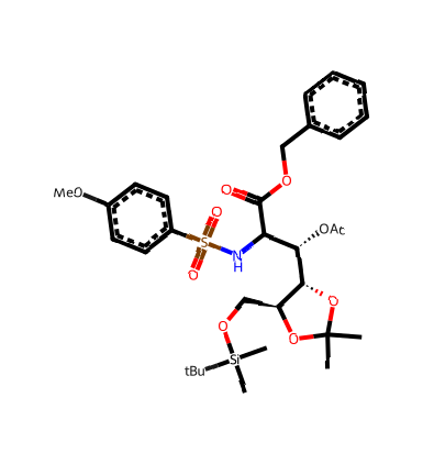 COc1ccc(S(=O)(=O)NC(C(=O)OCc2ccccc2)[C@H](OC(C)=O)[C@@H]2OC(C)(C)O[C@H]2CO[Si](C)(C)C(C)(C)C)cc1